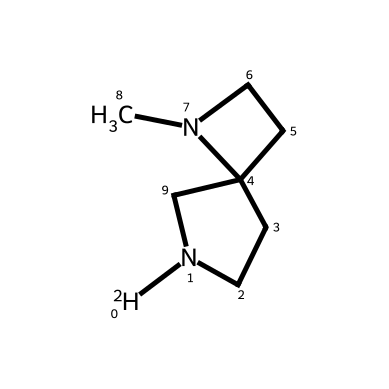 [2H]N1CCC2(CCN2C)C1